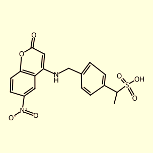 CC(c1ccc(CNc2cc(=O)oc3ccc([N+](=O)[O-])cc23)cc1)S(=O)(=O)O